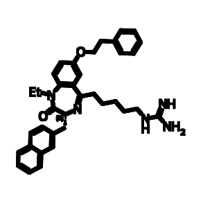 CCN1C(=O)[C@@H](Cc2ccc3ccccc3c2)N=C(CCCCCNC(=N)N)c2cc(OCCc3ccccc3)ccc21